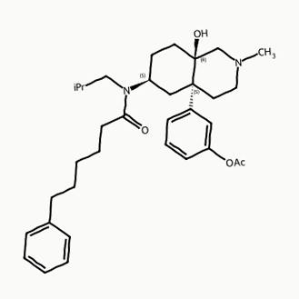 CC(=O)Oc1cccc([C@@]23CCN(C)C[C@@]2(O)CC[C@H](N(CC(C)C)C(=O)CCCCCc2ccccc2)C3)c1